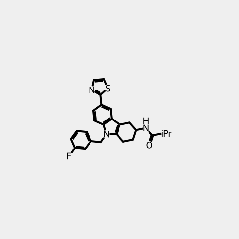 CC(C)C(=O)NC1CCc2c(c3cc(-c4nccs4)ccc3n2Cc2cccc(F)c2)C1